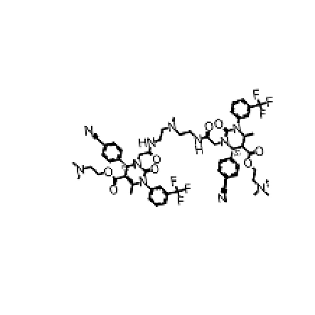 CC1=C(C(=O)OCCN(C)C)[C@@H](c2ccc(C#N)cc2)N(CC(=O)NCCN(C)CCNC(=O)CN2C(=O)N(c3cccc(C(F)(F)F)c3)C(C)C(C(=O)OCC[N+](C)(C)C)[C@H]2c2ccc(C#N)cc2)C(=O)N1c1cccc(C(F)(F)F)c1